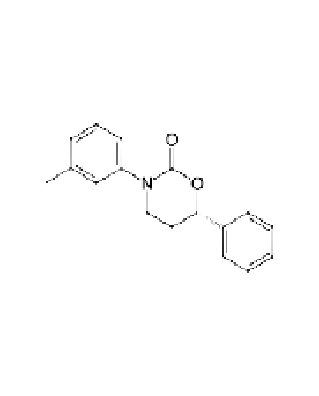 Cc1cccc(N2CC[C@@H](c3ccccc3)OC2=O)c1